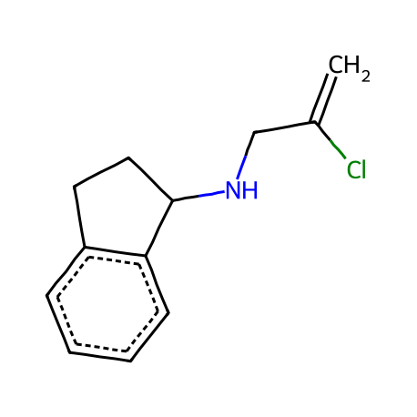 C=C(Cl)CNC1CCc2ccccc21